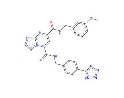 COc1cccc(CNC(=O)c2cc(C(=O)NCc3ccc(-c4nnn[nH]4)cc3)n3ncnc3n2)c1